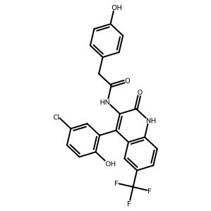 O=C(Cc1ccc(O)cc1)Nc1c(-c2cc(Cl)ccc2O)c2cc(C(F)(F)F)ccc2[nH]c1=O